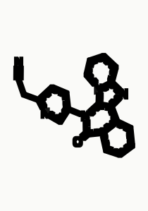 N#CCc1ccc(-n2c(=O)c3ccccc3c3nc4ccccn4c32)cn1